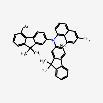 Cc1cc(C)c2c(N(c3ccc4c(c3)C(C)(C)c3ccccc3-4)c3ccc4c(c3)C(C)(C)c3cccc(C(C)(C)C)c3-4)cccc2c1